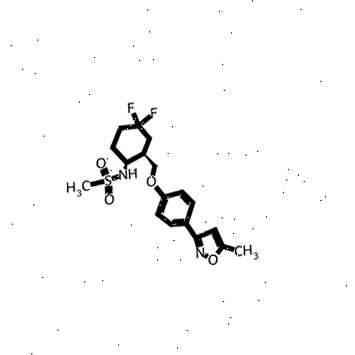 Cc1cc(-c2ccc(OC[C@@H]3CC(F)(F)CC[C@@H]3NS(C)(=O)=O)cc2)no1